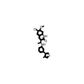 COc1cc2[nH]c(=O)c(C(C)Nc3cccc(-c4cscc4C)c3)cc2cc1Cl